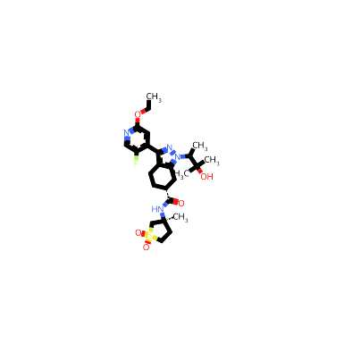 CCOc1cc(-c2nn(C(C)C(C)(C)O)c3c2CC[C@@H](C(=O)N[C@@]2(C)CCS(=O)(=O)C2)C3)c(F)cn1